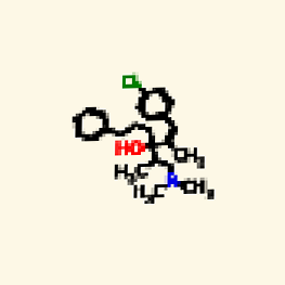 CC(=Cc1ccc(Cl)cc1)C(O)(CCCc1ccccc1)C(C)CN(C)C